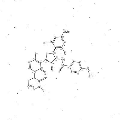 COCC(C(=O)N(C)C)n1ccc(C)c(N2C[C@@H](c3c(F)cc(OC)cc3F)[C@H](NC(=O)c3ccc(OC(F)(F)F)cc3)C2=O)c1=O